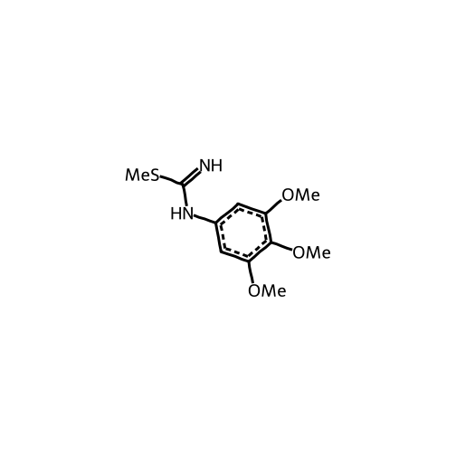 COc1cc(NC(=N)SC)cc(OC)c1OC